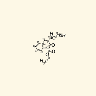 CCOC(=O)OC(=O)[C@@H](BOC=N)Cc1ccccc1